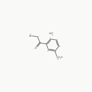 Cl.O=C(CBr)c1cccc(S(=O)(=O)O)c1